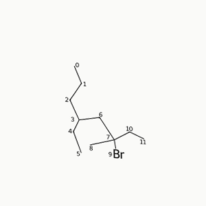 CCCC(CC)CC(C)(Br)CC